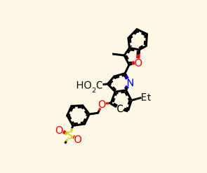 CCc1ccc(OCc2cccc(S(C)(=O)=O)c2)c2c(C(=O)O)cc(-c3oc4ccccc4c3C)nc12